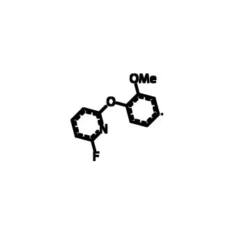 COc1c[c]ccc1Oc1cccc(F)n1